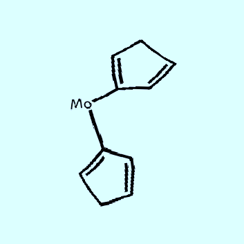 C1=C[C]([Mo][C]2=CCC=C2)=CC1